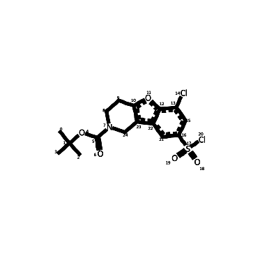 CC(C)(C)OC(=O)N1CCc2oc3c(Cl)cc(S(=O)(=O)Cl)cc3c2C1